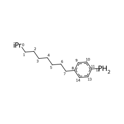 CC(C)CCCCCCCc1ccc(P)cc1